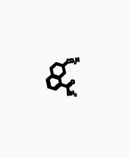 NC(=O)c1cccc2c1CC(C(=O)O)CC2